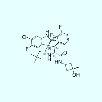 CC(C)(C)C[C@@H]1N[C@@H](C(=O)N[C@H]2C[C@@](C)(O)C2)[C@H](c2cccc(F)c2F)[C@]12C(=O)Nc1cc(Cl)c(F)cc12